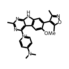 COc1cc2c(cc1-c1c(C)noc1C)[nH]c1nc(C)nc(-[n+]3ccc(N(C)C)cc3)c12